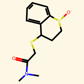 CN(C)C(=O)CSC1CC[S+]([O-])c2ccccc21